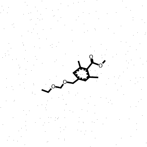 CCOCOCc1cc(C)c(C(=O)OC)c(C)c1